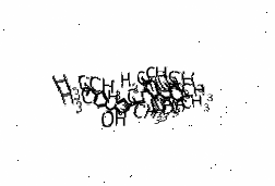 Cc1c(C)c(C)c(C(O)c2c(C)c(C)c(C)c(CCC(C)(C)c3ccc(C(O)c4ccc(C(C)(C)C)cc4)cc3)c2C)c(C)c1C